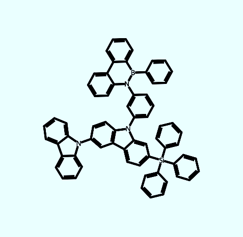 c1ccc(B2c3ccccc3-c3ccccc3N2c2cccc(-n3c4ccc(-n5c6ccccc6c6ccccc65)cc4c4ccc([Si](c5ccccc5)(c5ccccc5)c5ccccc5)cc43)c2)cc1